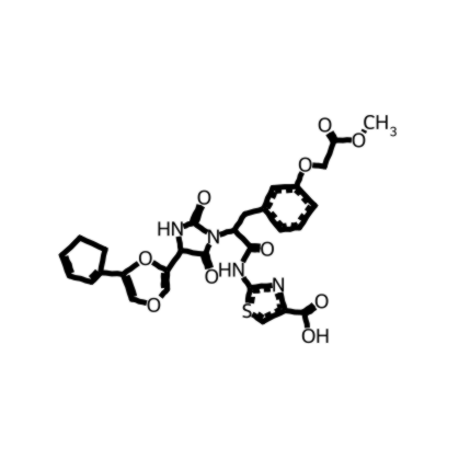 COC(=O)COc1cccc(CC(C(=O)Nc2nc(C(=O)O)cs2)N2C(=O)NC(C3=COC=C(C4=CC=CCC4)O3)C2=O)c1